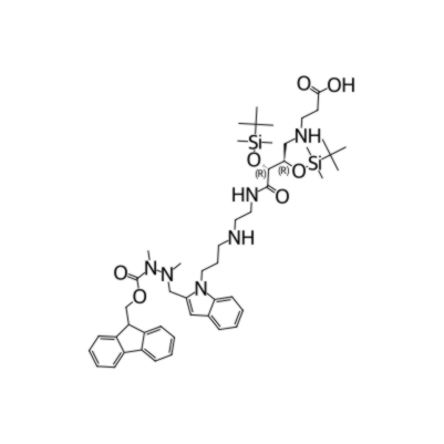 CN(Cc1cc2ccccc2n1CCCNCCNC(=O)[C@H](O[Si](C)(C)C(C)(C)C)[C@@H](CNCCC(=O)O)O[Si](C)(C)C(C)(C)C)N(C)C(=O)OCC1c2ccccc2-c2ccccc21